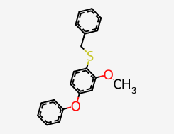 COc1cc(Oc2ccccc2)ccc1SCc1ccccc1